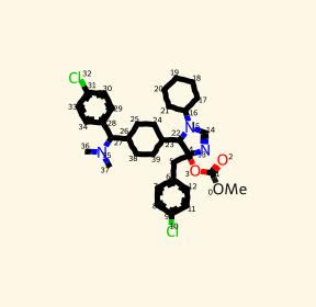 COC(=O)OC1(Cc2ccc(Cl)cc2)N=CN(C2CCCCC2)C1C1CCC(C(c2ccc(Cl)cc2)N(C)C)CC1